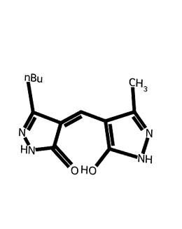 CCCCC1=NNC(=O)/C1=C\c1c(C)n[nH]c1O